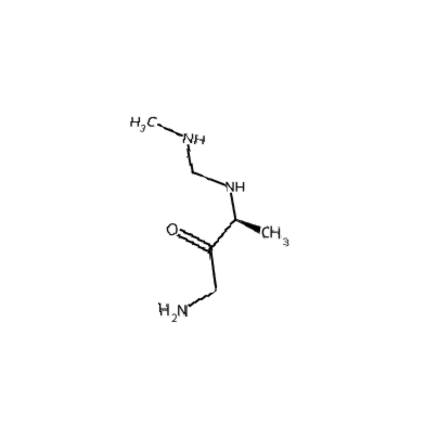 CNCN[C@@H](C)C(=O)CN